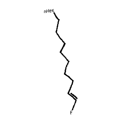 CCCCCCCCCCCCCC=CF